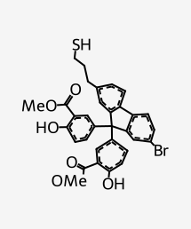 COC(=O)c1cc(C2(c3ccc(O)c(C(=O)OC)c3)c3cc(Br)ccc3-c3ccc(CCCS)cc32)ccc1O